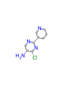 Nc1cnc(-c2cccnc2)nc1Cl